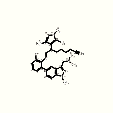 C#CCCCCC(COc1c(F)cccc1-c1ccc2c(c1)c(CN(C)C)nn2C)c1c(C)nn(C)c1C